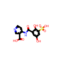 O=C(O)c1cnccc1NC(=O)c1cc(O)cc(S(=O)(=O)O)c1O